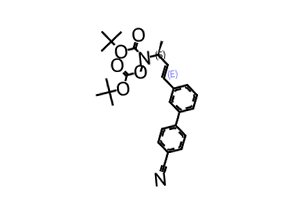 C[C@@H](/C=C/c1cccc(-c2ccc(C#N)cc2)c1)N(OC(=O)OC(C)(C)C)C(=O)OC(C)(C)C